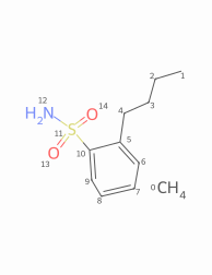 C.CCCCc1ccccc1S(N)(=O)=O